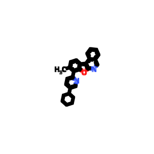 Cc1ccc2c(oc3ncc4ccccc4c32)c1-c1ccc(C2CCCCC2)cn1